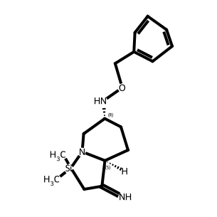 C[Si]1(C)CC(=N)[C@@H]2CC[C@@H](NOCc3ccccc3)CN21